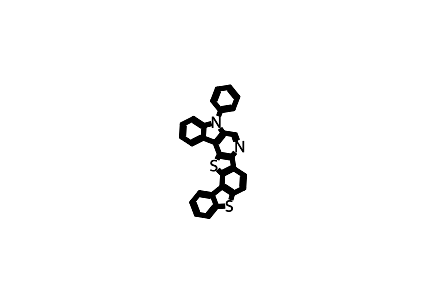 c1ccc(-n2c3ccccc3c3c4sc5c(ccc6sc7ccccc7c65)c4ncc32)cc1